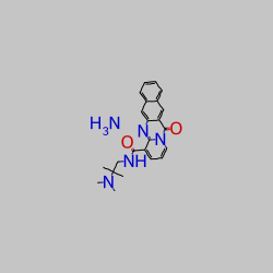 CN(C)C(C)(C)CNC(=O)c1cccn2c(=O)c3cc4ccccc4cc3nc12.N